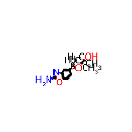 CC(C)(O)C(C)(C)OBc1ccc2oc(N)nc2c1